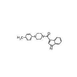 Cc1ccc(N2CCN(C(=O)c3c[nH]c4ccccc34)CC2)cc1